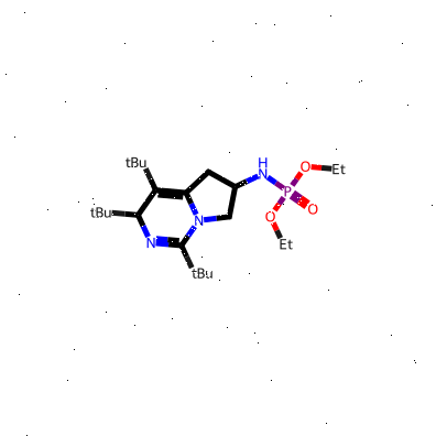 CCOP(=O)(NC1CC2=C(C(C)(C)C)C(C(C)(C)C)N=C(C(C)(C)C)N2C1)OCC